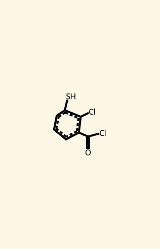 O=C(Cl)c1cccc(S)c1Cl